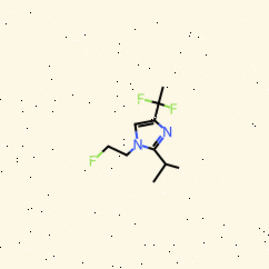 CC(C)c1nc(C(C)(F)F)cn1CCF